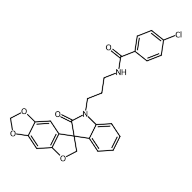 O=C(NCCCN1C(=O)C2(COc3cc4c(cc32)OCO4)c2ccccc21)c1ccc(Cl)cc1